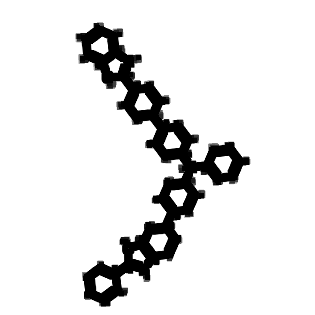 c1ccc(-c2nc3ccc(-c4ccc(N(c5ccccc5)c5ccc(-c6ccc(-c7nc8ccccc8o7)cc6)cc5)cc4)cc3o2)cc1